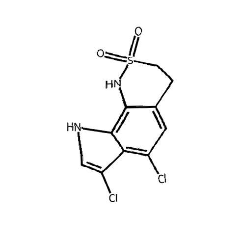 O=S1(=O)CCc2cc(Cl)c3c(Cl)c[nH]c3c2N1